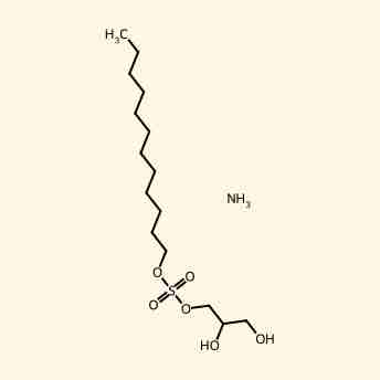 CCCCCCCCCCCCOS(=O)(=O)OCC(O)CO.N